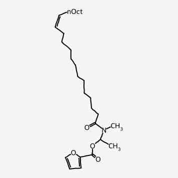 CCCCCCCC/C=C\CCCCCCCCCCCC(=O)N(C)C(C)OC(=O)c1ccco1